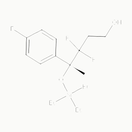 CC[Si](CC)(CC)O[C@](C)(c1ccc(F)cc1)C(F)(F)CCO